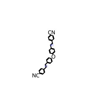 N#Cc1ccc(/C=C/c2ccc(Oc3ccc(/C=C/c4ccc(C#N)cc4)cc3)cc2)cc1